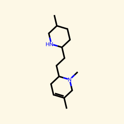 CC1=CCC(CCC2CCC(C)CN2)N(C)C1